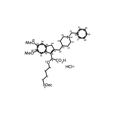 CCCCCCCCCCCCCCOC(C(=O)O)C1=C(CC2CCN(Cc3ccccc3)CC2)Cc2cc(OC)c(OC)cc21.Cl